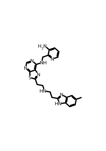 Cc1ccc2[nH]c(CCNCCc3nc4c(NCc5ncccc5N)ncnc4s3)nc2c1